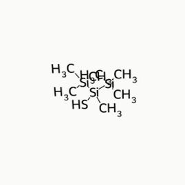 C[Si](C)(C)[Si](C)(S)[Si](C)(C)C